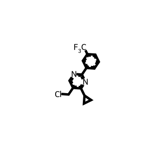 FC(F)(F)c1cccc(-c2ncc(CCl)c(C3CC3)n2)c1